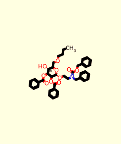 CCCCOCC1O[C@@H](OCCN(Cc2ccccc2)C(=O)OCc2ccccc2)C(OC(=O)c2ccccc2)C(OC(=O)c2ccccc2)[C@@H]1O